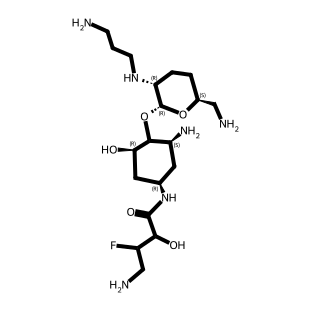 NCCCN[C@@H]1CC[C@@H](CN)O[C@@H]1OC1[C@H](O)C[C@H](NC(=O)C(O)C(F)CN)C[C@@H]1N